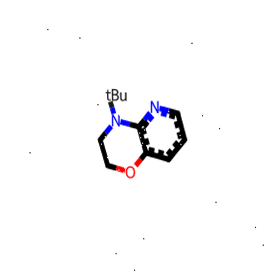 CC(C)(C)N1CCOc2cccnc21